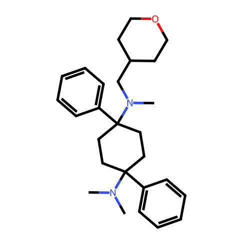 CN(C)C1(c2ccccc2)CCC(c2ccccc2)(N(C)CC2CCOCC2)CC1